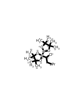 CC(C)CC(Cl)[B-]1(B2OC(C)(C)C(C)(C)O2)OC(C)(C)C(C)(C)O1